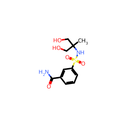 CC(CO)(CO)NS(=O)(=O)c1cccc(C(N)=O)c1